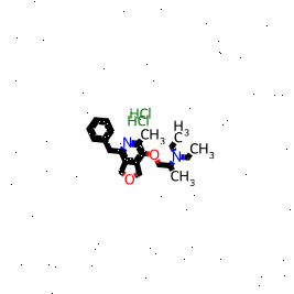 CCN(CC)C(C)COc1c(C)nc(Cc2ccccc2)c2c1COC2.Cl.Cl